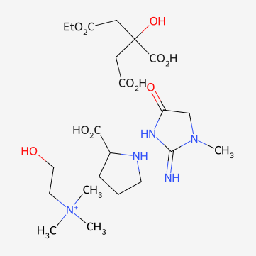 CCOC(=O)CC(O)(CC(=O)O)C(=O)O.CN1CC(=O)NC1=N.C[N+](C)(C)CCO.O=C(O)C1CCCN1